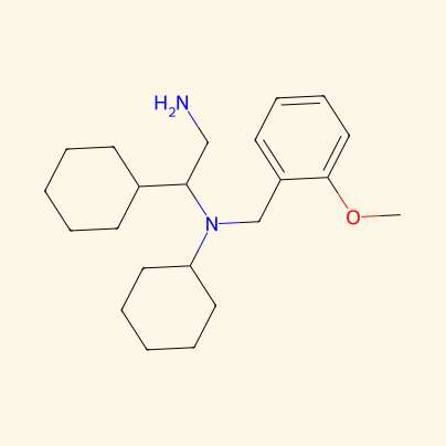 COc1ccccc1CN(C1CCCCC1)C(CN)C1CCCCC1